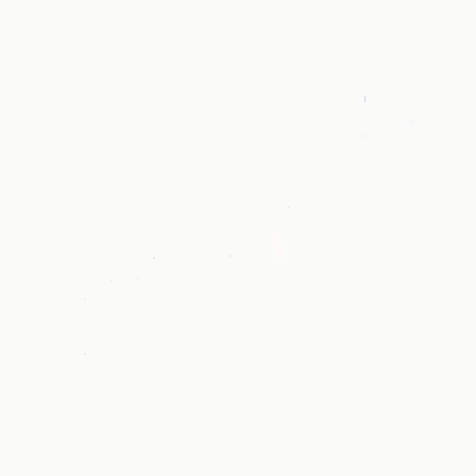 Cc1cccc(NC(=S)Nc2cccc(CC(=O)NCc3ccc(C(=N)N)cc3)c2)c1